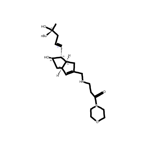 CCCC[C@](C)(O)C/C=C/[C@@H]1[C@H]2CC(CNCCC(=O)N3CCOCC3)=C[C@H]2C[C@H]1O